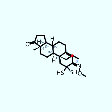 CCC[C@]12CC(S)(S)/C(=N\OC)C=C1CC[C@@H]1[C@@H]2CC[C@]2(C)C(=O)CC[C@@H]12